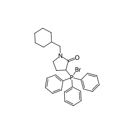 O=C1C(P(Br)(c2ccccc2)(c2ccccc2)c2ccccc2)CCN1CC1CCCCC1